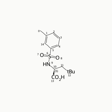 Cc1cccc(S(=O)(=O)N[C@@H](CC(C)(C)C)C(=O)O)c1